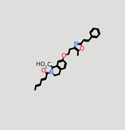 CC=CC=CC(=O)N1CCc2ccc(OCCc3nc(C=Cc4ccccc4)oc3C)cc2C1C(=O)O